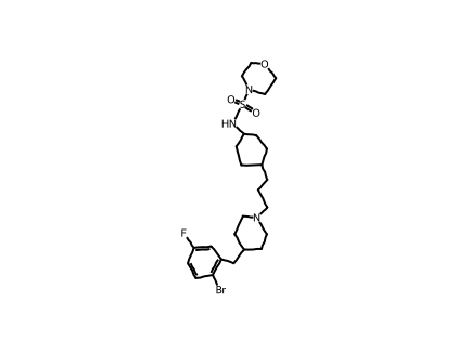 O=S(=O)(NC1CCC(CCCN2CCC(Cc3cc(F)ccc3Br)CC2)CC1)N1CCOCC1